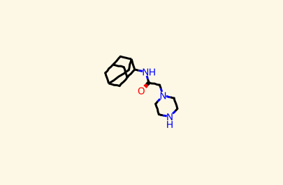 O=C(CN1CCNCC1)NC1C2CC3CC(C2)CC1C3